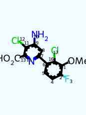 COc1c(F)ccc(-c2cc(N)c(Cl)c(C(=O)O)n2)c1Cl